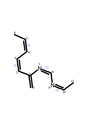 C=C(/C=C\C=C/C)/N=C\N=C/C